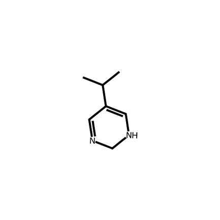 CC(C)C1=CNCN=C1